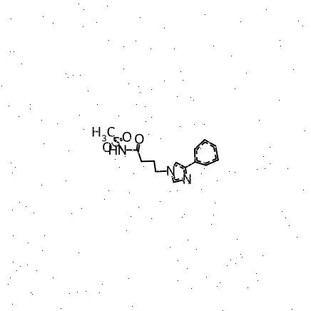 CS(=O)(=O)NC(=O)CCCn1cnc(-c2ccccc2)c1